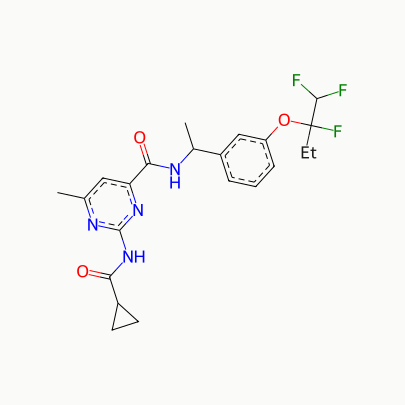 CCC(F)(Oc1cccc(C(C)NC(=O)c2cc(C)nc(NC(=O)C3CC3)n2)c1)C(F)F